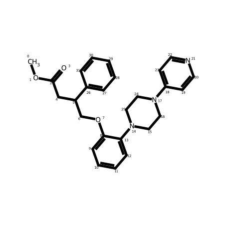 COC(=O)CC(COc1ccccc1N1CCN(c2ccncc2)CC1)c1ccccc1